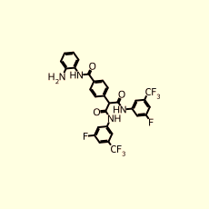 Nc1ccccc1NC(=O)c1ccc(C(C(=O)Nc2cc(F)cc(C(F)(F)F)c2)C(=O)Nc2cc(F)cc(C(F)(F)F)c2)cc1